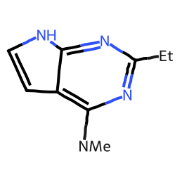 CCc1nc(NC)c2cc[nH]c2n1